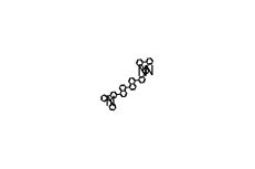 c1ccc(-n2c3ccccc3c3ccc(-c4cccc5c(-c6cccc7c(-c8cccc(-c9cnc%10c%11ccccc%11c%11ccccc%11c%10n9)c8)cccc67)cccc45)cc32)cc1